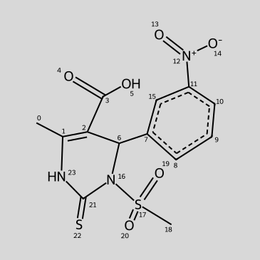 CC1=C(C(=O)O)C(c2cccc([N+](=O)[O-])c2)N(S(C)(=O)=O)C(=S)N1